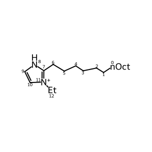 CCCCCCCCCCCCCCc1[nH]cc[n+]1CC